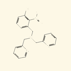 O=[N+]([O-])c1c(O)cccc1CN(Cc1ccccn1)Cc1ccccn1